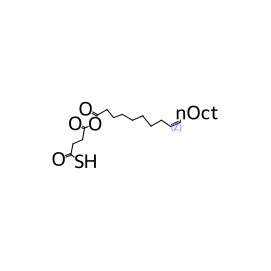 CCCCCCCC/C=C\CCCCCCCC(=O)OC(=O)CCC(=O)S